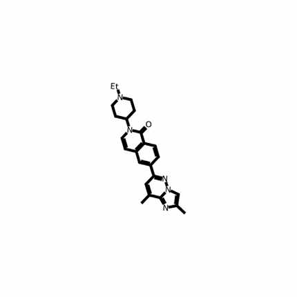 CCN1CCC(n2ccc3cc(-c4cc(C)c5nc(C)cn5n4)ccc3c2=O)CC1